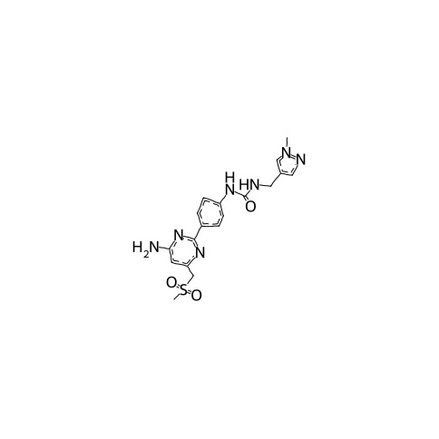 Cn1cc(CNC(=O)Nc2ccc(-c3nc(N)cc(CS(C)(=O)=O)n3)cc2)cn1